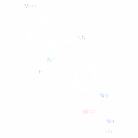 CCCNC(=O)Nc1ccc(-c2c(C#N)c3cc(OC)ccc3n2CC)cc1